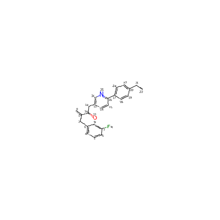 C=C(Cc1cccc(F)c1)C(=O)Cc1ccc(-c2ccc(CC)cc2)nc1